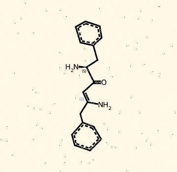 N/C(=C\C(=O)[C@@H](N)Cc1ccccc1)Cc1ccccc1